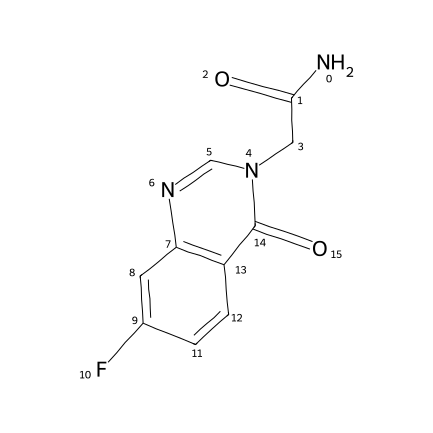 NC(=O)Cn1cnc2cc(F)ccc2c1=O